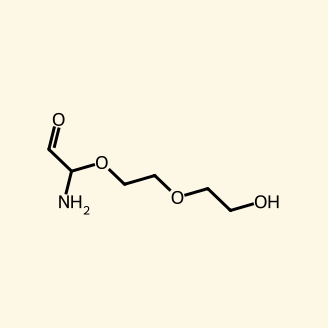 NC(C=O)OCCOCCO